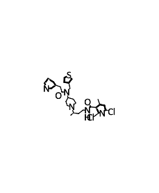 Cc1cc(Cl)nc(Cl)c1C(=O)NCC[C@@H](C)N1CCC(N(Cc2ccsc2)C(=O)Cc2cccnc2)CC1